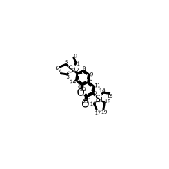 CC[Si](CC)(CC)c1ccc2cc([Si](CC)(CC)CC)c(=O)oc2c1